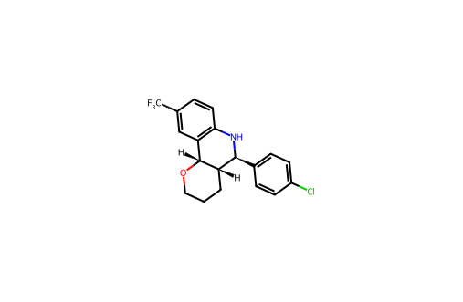 FC(F)(F)c1ccc2c(c1)[C@H]1OCCC[C@H]1[C@H](c1ccc(Cl)cc1)N2